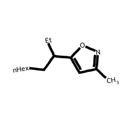 CCCCCCCC(CC)c1cc(C)no1